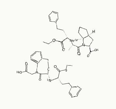 CCOC(=O)[C@H](CCc1ccccc1)N[C@@H](C)C(=O)N1[C@H](C(=O)O)C[C@@H]2CCC[C@@H]21.CCOC(=O)[C@H](CCc1ccccc1)N[C@H]1CCc2ccccc2N(CC(=O)O)C1=O